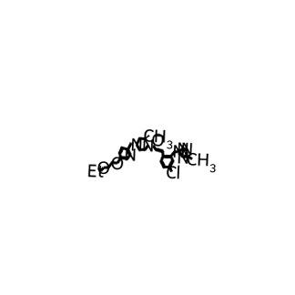 CCOCCOc1ccc(CN2CCN(C(=O)/C=C/c3ccc(Cl)cc3Cn3nnc(C)n3)[C@H](C)C2)nc1